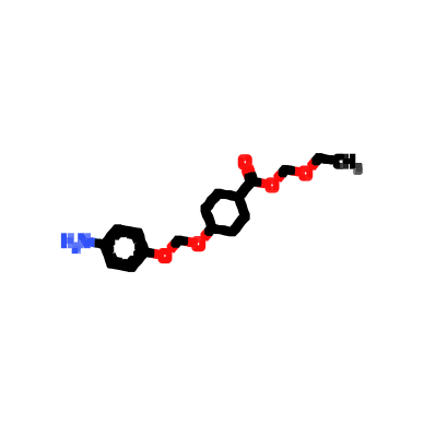 CCOCOC(=O)C1CCC(OCOc2ccc(N)cc2)CC1